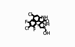 O=C1Nc2cc(Cl)ccc2[C@]12N[C@@H](CO)C[C@@H]2c1ccc(F)c(Cl)c1F